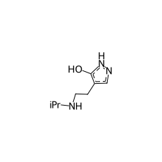 CC(C)NCCc1cn[nH]c1O